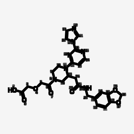 O=C(O)COCC(=O)N1CCN(c2ccnc(-n3ccnc3)n2)C(CC(=O)NCc2ccc3c(c2)OCO3)C1